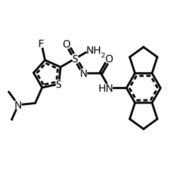 CN(C)Cc1cc(F)c(S(N)(=O)=NC(=O)Nc2c3c(cc4c2CCC4)CCC3)s1